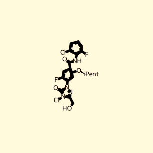 CCC[C@H](C)Oc1cc(-n2nc(CO)n(Cl)c2=O)c(F)cc1C(=O)Nc1c(F)cccc1Cl